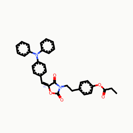 CCC(=O)Oc1ccc(CCN2C(=O)O/C(=C/c3ccc(N(c4ccccc4)c4ccccc4)cc3)C2=O)cc1